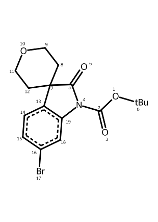 CC(C)(C)OC(=O)N1C(=O)C2(CCOCC2)c2ccc(Br)cc21